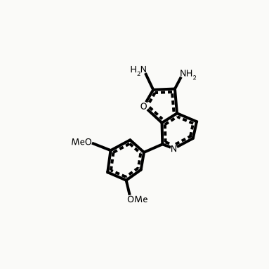 COc1cc(OC)cc(-c2nccc3c(N)c(N)oc23)c1